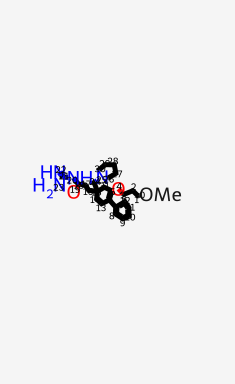 COCCCOC1=C(c2ccccc2)C=CC(CCC(=O)NC(=N)N)(CN2CCCCC2)C1